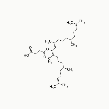 CC(C)=CCCC(C)CCCC(C)=CC(OC(=O)CCC(=O)O)=C(C)CCCC(C)CCC=C(C)C